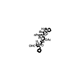 CCCOCN(C(=O)[C@@H](NC(=O)[C@H]1CCCCN1C)C(C)CC)[C@H](C[C@@H](OC(C)=O)c1nc(C(=O)N[C@@H](Cc2ccccc2)C[C@H](C)C=O)cs1)C(C)C